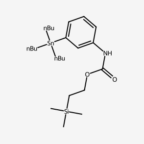 CCC[CH2][Sn]([CH2]CCC)([CH2]CCC)[c]1cccc(NC(=O)OCC[Si](C)(C)C)c1